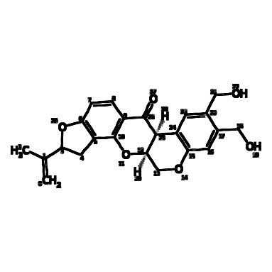 C=C(C)C1Cc2c(ccc3c2O[C@@H]2COc4cc(CO)c(CO)cc4[C@@H]2C3=O)O1